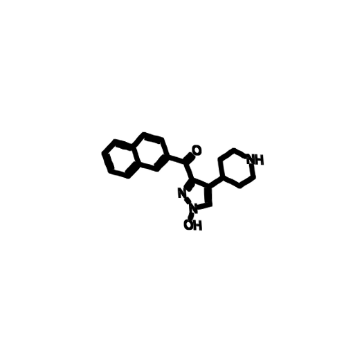 O=C(c1ccc2ccccc2c1)c1nn(O)cc1C1CCNCC1